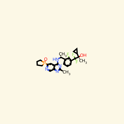 Cc1nc(N[C@H](C)c2cccc(C(F)(F)[C@](C)(O)C3CC3)c2F)c2cc(P3(=O)CCCC3)ncc2n1